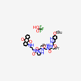 CC(C)C[C@H](NC(=O)[C@@H](N)Cc1ccc(OC(C)(C)C)cc1)C(=O)NCC(=O)N[C@@H](CC(C)C)C(=O)N1CCC[C@H]1C(=O)NCCCNc1cccc2c1C(=O)c1ccccc1C2=O.O=C(O)C(F)(F)F